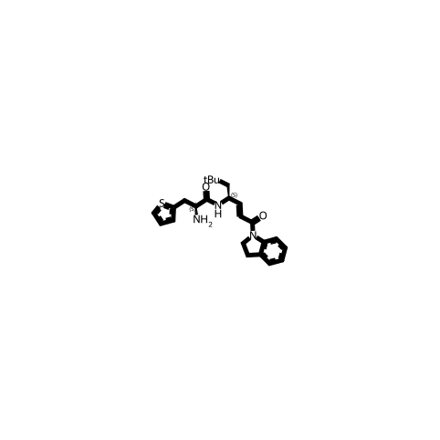 CC(C)(C)C[C@@H](C=CC(=O)N1CCc2ccccc21)NC(=O)[C@@H](N)Cc1cccs1